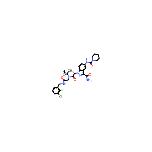 CC(C)N(CC(=O)NCc1cccc(Cl)c1F)C(=O)Cn1nc(C(N)=O)c2cc(NC(=O)N3CCCCC3)ccc21